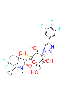 CO[C@@H]1[C@@H](n2cc(-c3cc(F)c(F)c(F)c3)nn2)[C@@H](O)[C@@H](CO)O[C@H]1S[C@H](C(=O)N(C)CC1CC1)C1(O)CCC(F)(F)CC1